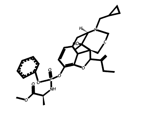 C=C(CC)C1OC2=C(OP(=O)(N[C@@H](C)C(=O)OC)Oc3ccccc3)C=CC3C[C@H]4N(CC5CC5)CCC[C@@]1(C23)C4(C)O